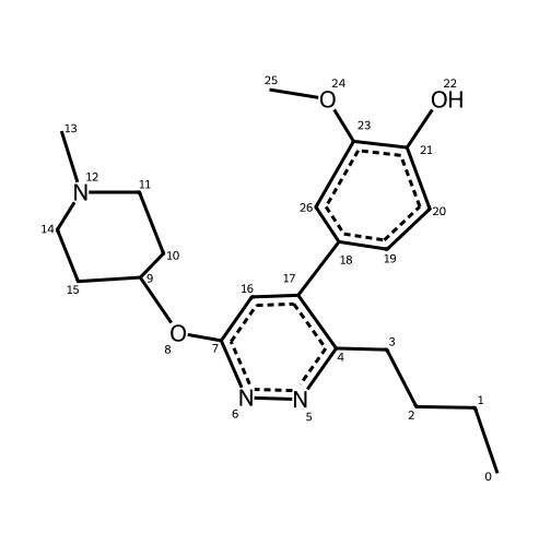 CCCCc1nnc(OC2CCN(C)CC2)cc1-c1ccc(O)c(OC)c1